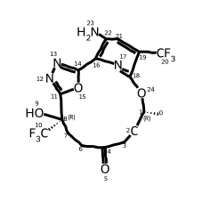 C[C@@H]1CCC(=O)CC[C@](O)(C(F)(F)F)c2nnc(o2)-c2nc(c(C(F)(F)F)cc2N)O1